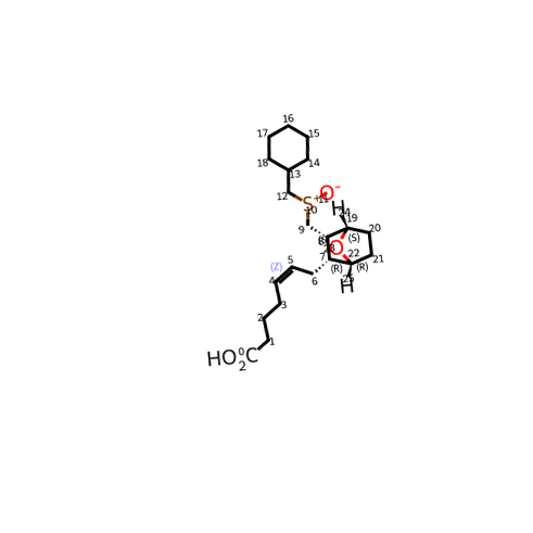 O=C(O)CCC/C=C\C[C@@H]1[C@H](C[S+]([O-])CC2CCCCC2)[C@@H]2CC[C@H]1O2